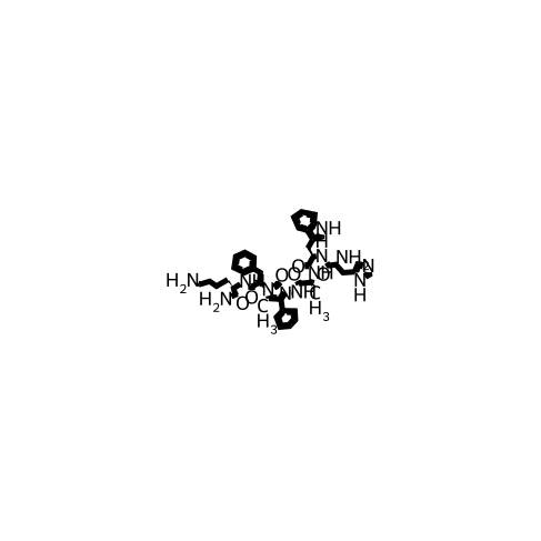 Cc1c(-c2ccccc2)n(NC(=O)[C@H](C)NC(=O)[C@@H](Cc2c[nH]c3ccccc23)NC(=O)[C@@H](N)Cc2cnc[nH]2)c(=O)n1C(Cc1ccccc1)C(=O)N[C@@H](CCCCN)C(N)=O